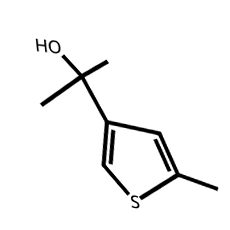 Cc1cc(C(C)(C)O)cs1